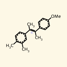 COc1ccc(/C(C)=C(\C)c2ccc(C)c(C)c2)cc1